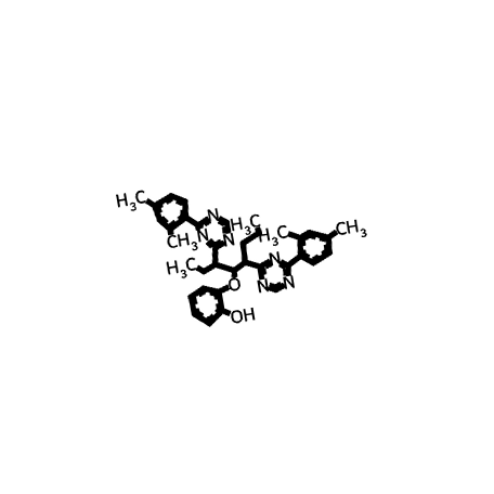 CCCC(c1ncnc(-c2ccc(C)cc2C)n1)C(Oc1ccccc1O)C(CC)c1ncnc(-c2ccc(C)cc2C)n1